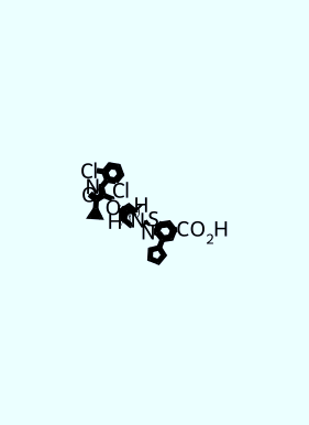 O=C(O)c1cc(C2CCCC2)c2nc(N3C[C@H]4C[C@@H]3C[C@@H]4OCc3c(-c4c(Cl)cccc4Cl)noc3C3CC3)sc2c1